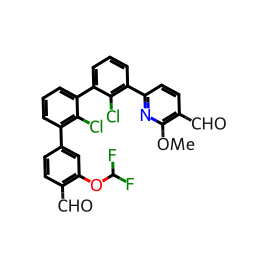 COc1nc(-c2cccc(-c3cccc(-c4ccc(C=O)c(OC(F)F)c4)c3Cl)c2Cl)ccc1C=O